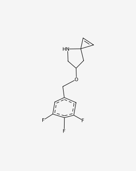 Fc1cc(COC2CNC3(C=C3)C2)cc(F)c1F